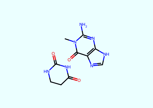 Cn1c(N)nc2[nH]cnc2c1=O.O=C1CCNC(=O)N1